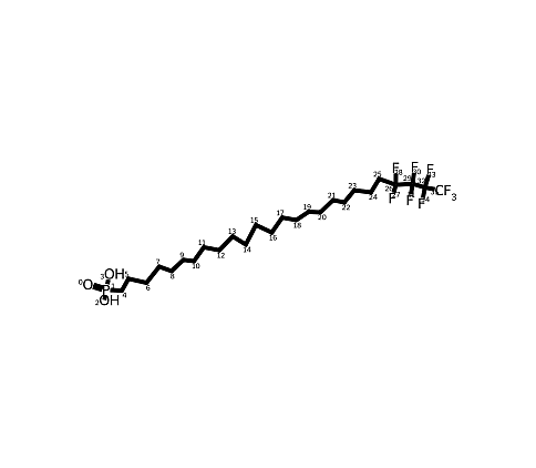 O=P(O)(O)CCCCCCCCCCCCCCCCCCCCCCC(F)(F)C(F)(F)C(F)(F)C(F)(F)F